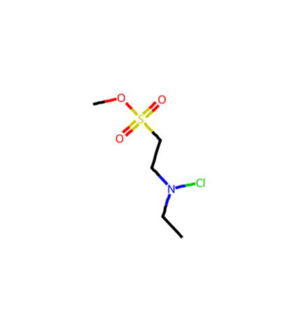 CCN(Cl)CCS(=O)(=O)OC